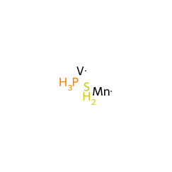 P.S.[Mn].[V]